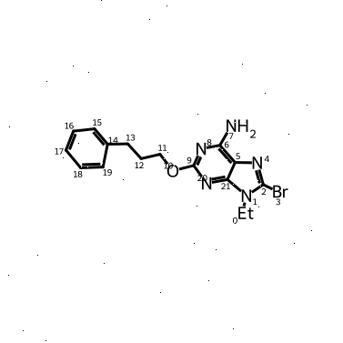 CCn1c(Br)nc2c(N)nc(OCCCc3ccccc3)nc21